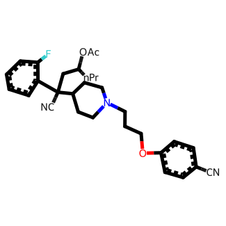 CCCC(CC(C#N)(c1ccccc1F)C1CCN(CCCOc2ccc(C#N)cc2)CC1)OC(C)=O